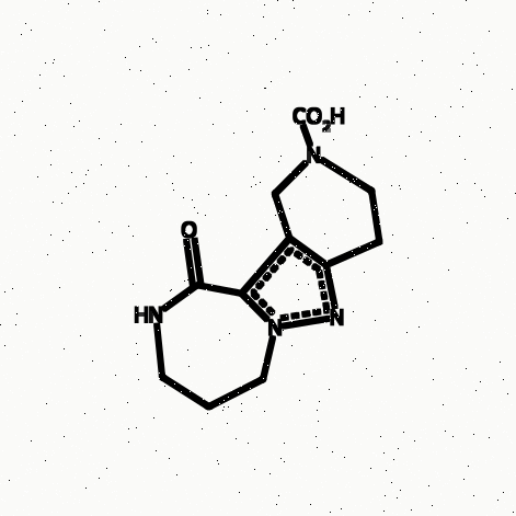 O=C1NCCCn2nc3c(c21)CN(C(=O)O)CC3